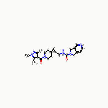 Cc1nn(C)c(C)c1C(=O)N1CCC2(CC1)CC2CNC(=O)N1Cc2ccncc2C1